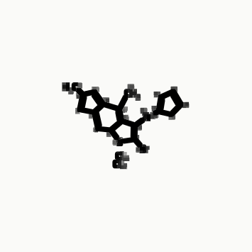 CC1=CC2=CC3SC(Br)=[C]([Zr+2][C]4=CC=CC4)C3=C(C)C2=C1.[Cl-].[Cl-]